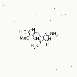 COc1c(C)cnc(CN2CC(CN)c3c(Cl)nc(N)nc32)c1C